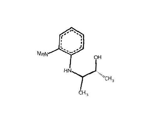 CNc1ccccc1NC(C)[C@@H](C)O